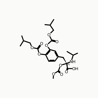 COC(=O)O[C@](Cc1ccc(OC(=O)OCC(C)C)c(OC(=O)OCC(C)C)c1)(NC(C)C)C(=O)O